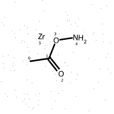 CC(=O)ON.[Zr]